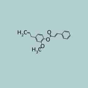 C=CCc1ccc(OC(=O)C=Cc2ccccc2)c(OC)c1